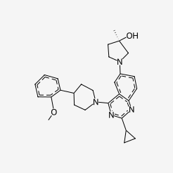 COc1ccccc1C1CCN(c2nc(C3CC3)nc3ccc(N4CC[C@@](C)(O)C4)cc23)CC1